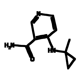 CC1(Nc2ccncc2C(N)=O)CC1